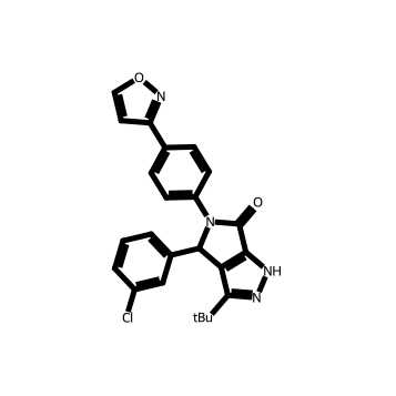 CC(C)(C)c1n[nH]c2c1C(c1cccc(Cl)c1)N(c1ccc(-c3ccon3)cc1)C2=O